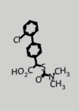 CN(C)C(=O)SC(C(=O)O)c1ccc(-c2ccccc2Cl)cc1